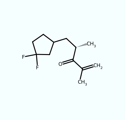 C=C(C)C(=O)[C@@H](C)CC1CCC(F)(F)C1